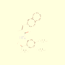 COC(=O)c1cc(OC)c(OC)cc1NC(=O)/C(C)=C(/C)c1ccc2ccccc2c1